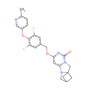 Cc1ccc(Oc2c(F)cc(COc3cc4n(c(=O)n3)CC35CC(CN43)C5)cc2F)cn1